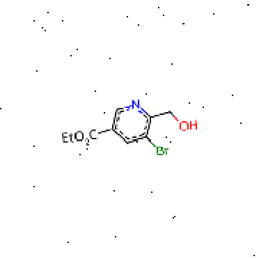 CCOC(=O)c1cnc(CO)c(Br)c1